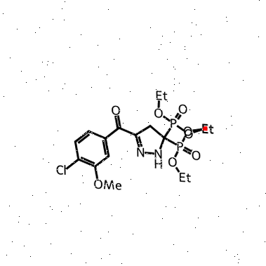 CCOP(=O)(OCC)C1(P(=O)(OCC)OCC)CC(C(=O)c2ccc(Cl)c(OC)c2)=NN1